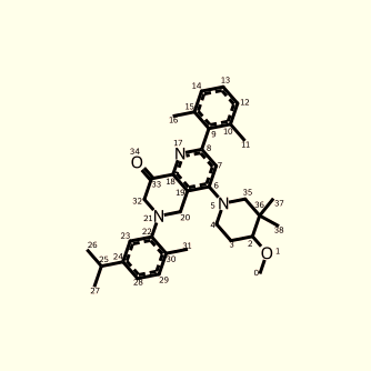 COC1CCN(c2cc(-c3c(C)cccc3C)nc3c2CN(c2cc(C(C)C)ccc2C)CC3=O)CC1(C)C